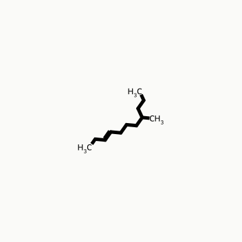 CCC=CCCCC(C)CCC